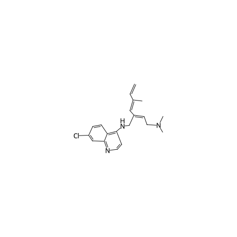 C=C/C(C)=C/C(=C/CN(C)C)CNc1ccnc2cc(Cl)ccc12